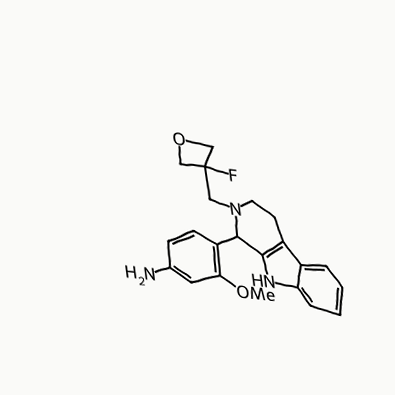 COc1cc(N)ccc1C1c2[nH]c3ccccc3c2CCN1CC1(F)COC1